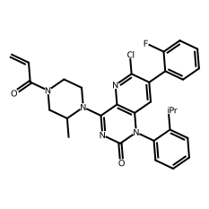 C=CC(=O)N1CCN(c2nc(=O)n(-c3ccccc3C(C)C)c3cc(-c4ccccc4F)c(Cl)nc23)C(C)C1